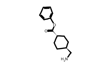 NC[C@H]1CC[C@H](C(=O)Oc2ccccc2)CC1